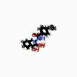 CCCCc1ccc(C(=O)NN2Cc3ccccc3C(O)=C2O)cc1